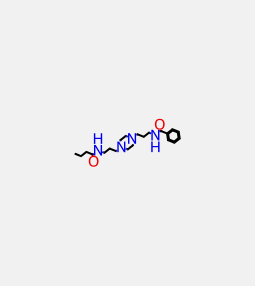 CCCC(=O)NCCCN1CCN(CCCNC(=O)c2ccccc2)CC1